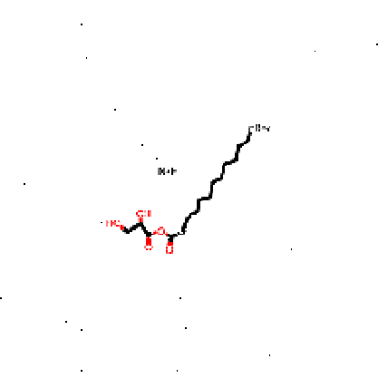 CCCCCCCCCCCCCCCCCCCCCC(=O)OC(=O)C(O)CO.[NaH]